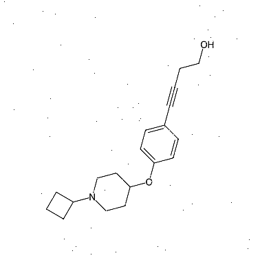 OCCC#Cc1ccc(OC2CCN(C3CCC3)CC2)cc1